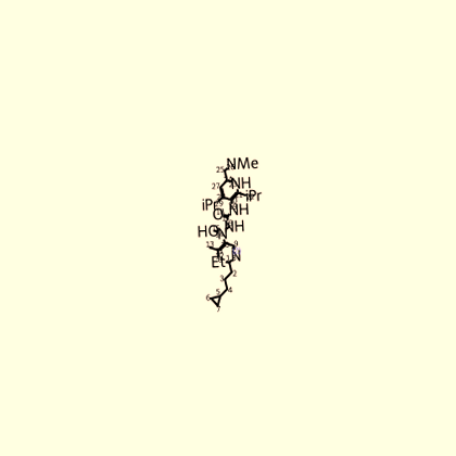 CCC(CCCC1CC1)/N=C\C(=C(C)C)N(O)NC(=O)NC1=C(C(C)C)NC(CNC)C=C1C(C)C